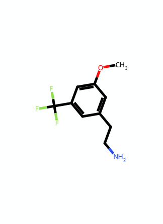 COc1cc(CCN)cc(C(F)(F)F)c1